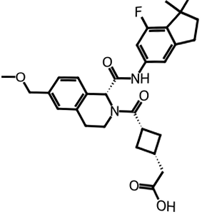 COCc1ccc2c(c1)CCN(C(=O)[C@H]1C[C@@H](CC(=O)O)C1)[C@H]2C(=O)Nc1cc(F)c2c(c1)CCC2(C)C